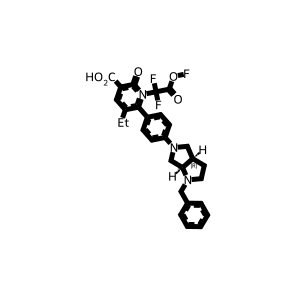 CCc1cc(C(=O)O)c(=O)n(C(F)(F)C(=O)OF)c1-c1ccc(N2C[C@H]3CCN(Cc4ccccc4)[C@H]3C2)cc1